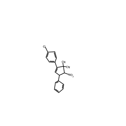 N#CC1(C#N)C(c2ccc(Cl)cc2)=CC(c2ccccc2)C1[N+](=O)[O-]